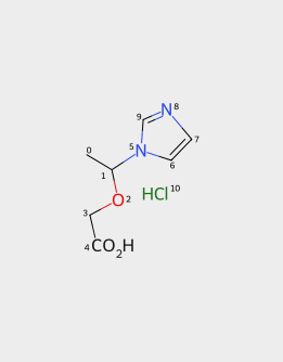 CC(OCC(=O)O)n1ccnc1.Cl